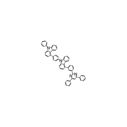 c1ccc(-c2cc(-c3ccccc3)nc(-c3cccc(-c4cccc5c4c4ccccc4n5-c4ccc(-c5cccc6c5c5ccccc5n6-c5ccccc5)cc4)c3)n2)cc1